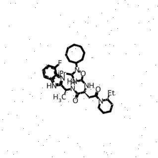 CC[C@H]1CCCCN1C(=O)C[C@H](NC1NC(C(C)C)N(C2CCCCCCC2)O1)C(=O)N[C@@H](C)c1nc2c(F)cccc2[nH]1